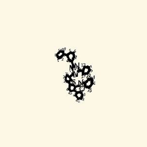 c1ccc(-c2cccc(-c3nc(-c4ccccc4)nc(-c4cccc5c4sc4c(-c6nc7ccccc7o6)c(-c6ccccc6)ccc45)n3)c2)cc1